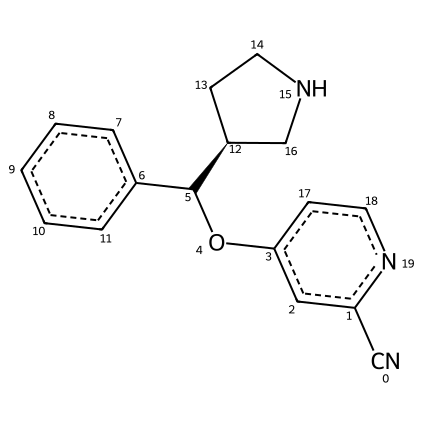 N#Cc1cc(OC(c2ccccc2)[C@H]2CCNC2)ccn1